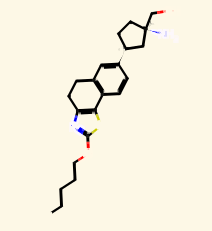 CCCCCOc1nc2c(s1)-c1ccc([C@H]3CC[C@](N)(CO)C3)cc1CC2